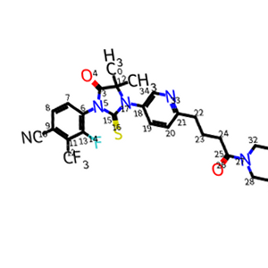 CC1(C)C(=O)N(c2ccc(C#N)c(C(F)(F)F)c2F)C(=S)N1c1ccc(CCCC(=O)N2CCOCC2)nc1